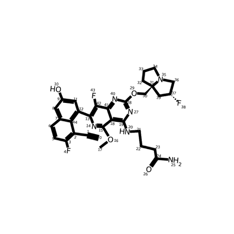 C#Cc1c(F)ccc2cc(O)cc(-c3nc(OC)c4c(NCCCC(N)=O)nc(OC[C@@]56CCCN5C[C@H](F)C6)nc4c3F)c12